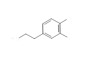 CNCCc1ccc(C(=O)O)c([N+](=O)[O-])c1